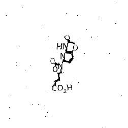 O=C(O)CCC1CN(c2ccc3c(n2)NC(=O)CO3)C(=O)O1